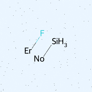 [F][Er].[SiH3][No]